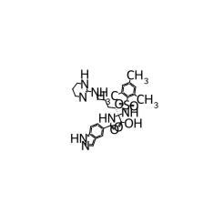 Cc1cc(C)c(S(=O)(=O)N[C@](CCCCNC2=NCCCN2)(NC(=O)c2ccc3[nH]ncc3c2)C(=O)O)c(C)c1